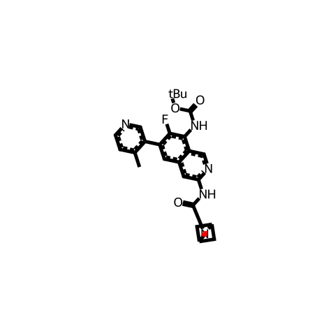 Cc1ccncc1-c1cc2cc(NC(=O)N3CC4CC3C4)ncc2c(NC(=O)OC(C)(C)C)c1F